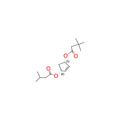 CC(C)CC(=O)O[C@H]1C=C[C@@H](OC(=O)CC(C)(C)C)C1